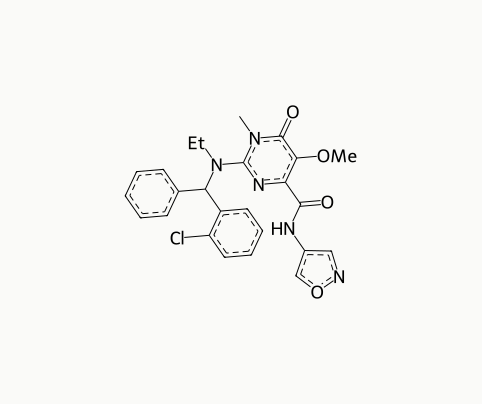 CCN(c1nc(C(=O)Nc2cnoc2)c(OC)c(=O)n1C)C(c1ccccc1)c1ccccc1Cl